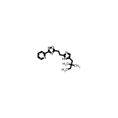 CCC(C)(C)Cc1cnc(CCc2nc(-c3ccccn3)no2)[nH]1